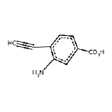 C#Cc1ccc(C(=O)O)cc1N